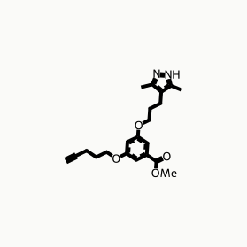 C#CCCCOc1cc(OCCCc2c(C)n[nH]c2C)cc(C(=O)OC)c1